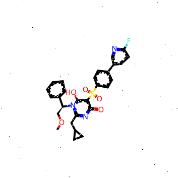 COC[C@@H](c1ccccc1)n1c(CC2CC2)nc(=O)c(S(=O)(=O)c2ccc(-c3ccc(F)nc3)cc2)c1O